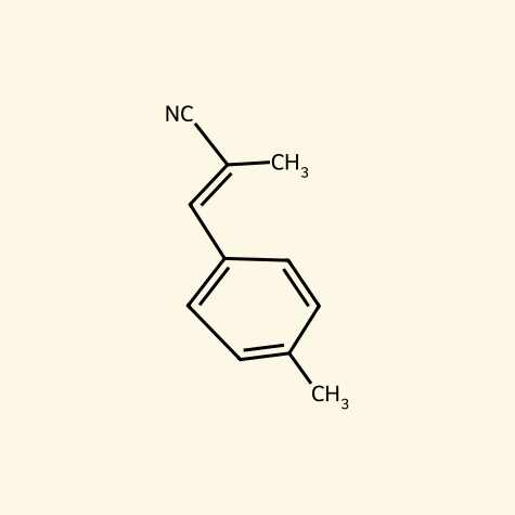 CC(C#N)=Cc1ccc(C)cc1